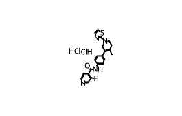 CC1=C(c2ccc(NC(=O)c3ccncc3F)cc2)CN(c2nccs2)CC1.Cl.Cl